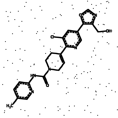 Cc1ccc(NC(=O)N2CC=C(c3ncc(-c4ocnc4CO)cc3Cl)CC2)nc1